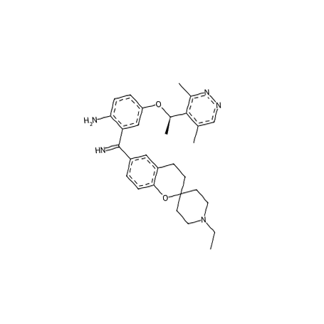 CCN1CCC2(CCc3cc(C(=N)c4cc(O[C@H](C)c5c(C)cnnc5C)ccc4N)ccc3O2)CC1